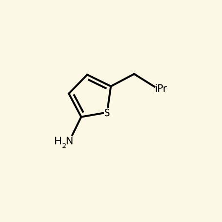 CC(C)Cc1ccc(N)s1